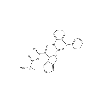 CN[C@@H](C)C(=O)N[C@H](C(=O)N1c2ncccc2C[C@H]1C(=O)Nc1ccccc1Oc1ccccc1)C(C)C